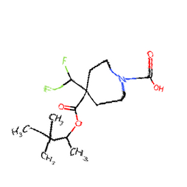 CC(OC(=O)C1(C(F)F)CCN(C(=O)O)CC1)C(C)(C)C